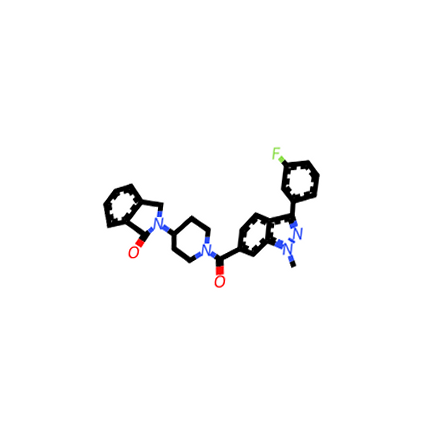 Cn1nc(-c2cccc(F)c2)c2ccc(C(=O)N3CCC(N4Cc5ccccc5C4=O)CC3)cc21